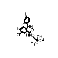 CC(C)(O)CONC(=O)c1cc(Cl)c(F)cc1Nc1ccc(I)cc1F